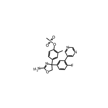 Cc1cc(C2(c3ccc(F)c(-c4cncnc4)c3)COC(N)=N2)ccc1OS(C)(=O)=O